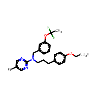 CCc1cnc(N(CCCc2ccc(OCC(=O)O)cc2)Cc2cccc(OC(C)(F)F)c2)nc1